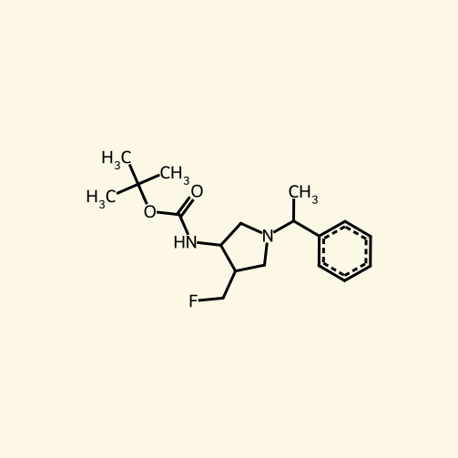 CC(c1ccccc1)N1CC(CF)C(NC(=O)OC(C)(C)C)C1